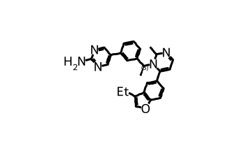 CCc1coc2ccc(C3=CC=NC(C)N3[C@@H](C)c3cccc(-c4cnc(N)nc4)c3)cc12